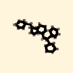 c1ccc(C(=Nc2ccnc3c2ccn3Cc2ccncc2)c2ccccc2)cc1